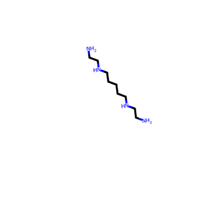 NCCNCCCCCNCCN